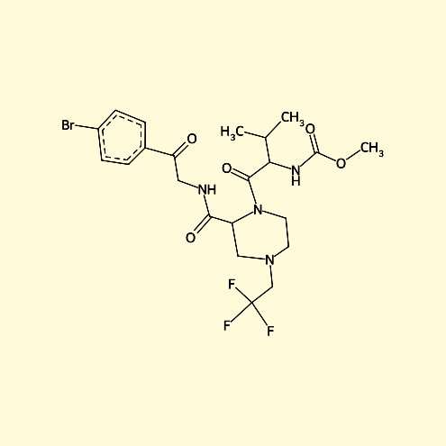 COC(=O)NC(C(=O)N1CCN(CC(F)(F)F)CC1C(=O)NCC(=O)c1ccc(Br)cc1)C(C)C